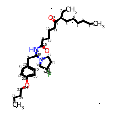 CCCCCCC(CC)C(=O)CCCCC(=O)NC(Cc1ccc(OCCCC)cc1)N1CC[C@@H](F)C1